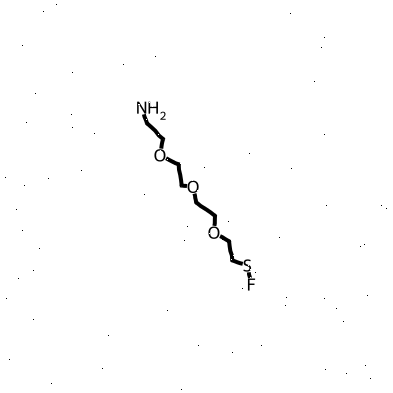 NCCOCCOCCOCCSF